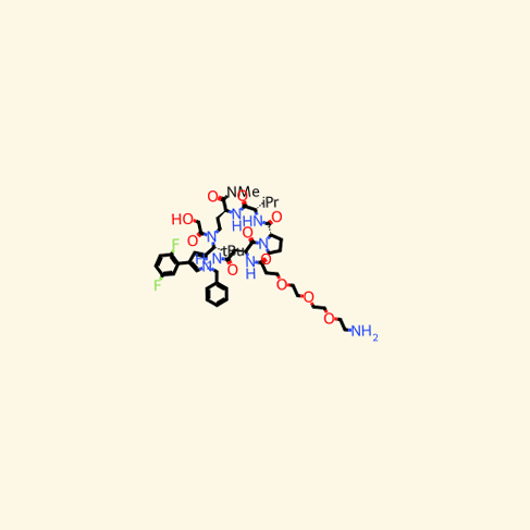 CNC(=O)[C@H](CCN(C(=O)CO)[C@@H](c1cc(-c2cc(F)ccc2F)cn1Cc1ccccc1)C(C)(C)C)NC(=O)[C@@H](NC(=O)[C@@H]1CCCN1C(=O)[C@H](CC(N)=O)NC(=O)CCOCCOCCOCCN)C(C)C